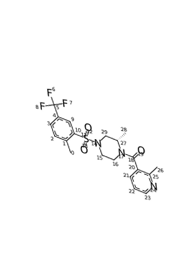 Cc1ccc(C(F)(F)F)cc1S(=O)(=O)N1CCN(C(=O)c2cccnc2C)[C@@H](C)C1